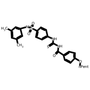 CCCCCOc1ccc(C(=O)NC(=S)Nc2ccc(S(=O)(=O)Nc3cc(C)cc(C)c3)cc2)cc1